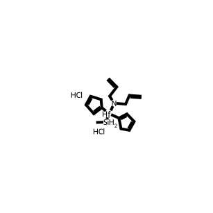 C=CC[N](CC=C)[Hf]([SiH2]C)([C]1=CC=CC1)[C]1=CC=CC1.Cl.Cl